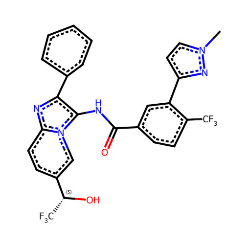 Cn1ccc(-c2cc(C(=O)Nc3c(-c4ccccc4)nc4ccc([C@H](O)C(F)(F)F)cn34)ccc2C(F)(F)F)n1